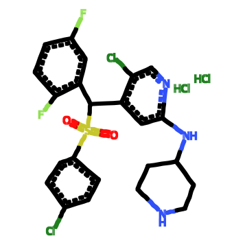 Cl.Cl.O=S(=O)(c1ccc(Cl)cc1)C(c1cc(F)ccc1F)c1cc(NC2CCNCC2)ncc1Cl